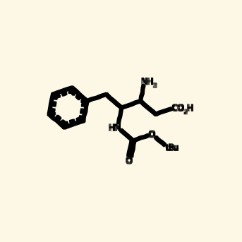 CC(C)(C)OC(=O)NC(Cc1ccccc1)C(N)CC(=O)O